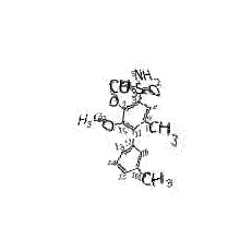 COc1c(S(N)(=O)=O)cc(C)c(-c2cccc(C)c2)c1OC